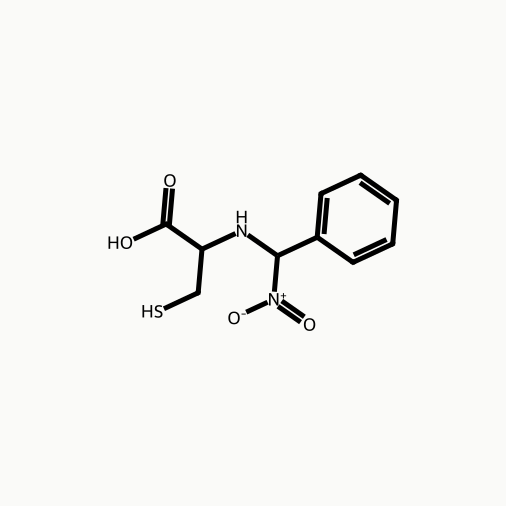 O=C(O)C(CS)NC(c1ccccc1)[N+](=O)[O-]